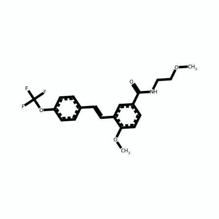 COCCNC(=O)c1ccc(OC)c(C=Cc2ccc(OC(F)(F)F)cc2)c1